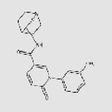 Cc1cccc(-n2cc(C(=O)NC3CN4CCC3CC4)ccc2=O)c1